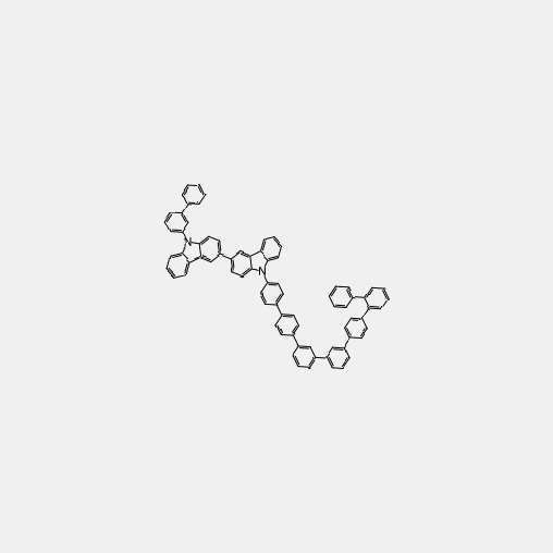 c1ccc(-c2cccc(-n3c4ccccc4c4cc(-c5ccc6c(c5)c5ccccc5n6-c5ccc(-c6ccc(-c7cccc(-c8cccc(-c9ccc(-c%10ccccc%10-c%10ccccc%10)cc9)c8)c7)cc6)cc5)ccc43)c2)cc1